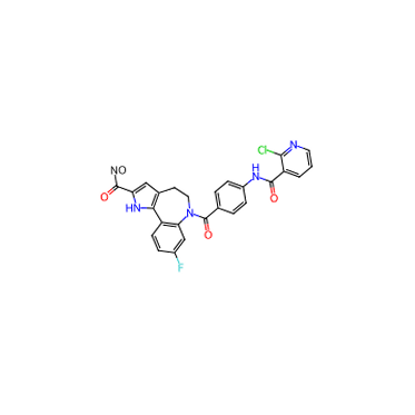 O=NC(=O)c1cc2c([nH]1)-c1ccc(F)cc1N(C(=O)c1ccc(NC(=O)c3cccnc3Cl)cc1)CC2